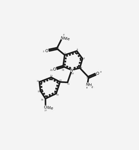 CNC(=O)c1ccc(C(N)=O)n(Cc2cccc(OC)c2)c1=O